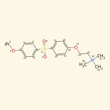 CC(C)Oc1ccc(S(=O)(=O)c2ccc(OCC[N+](C)(C)C)cc2)cc1